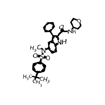 CN(c1ccc2[nH]c(C(=O)NC3CCOCC3)c(-c3ccccc3)c2c1)S(=O)(=O)c1ccc(C(C)(C)C)cc1